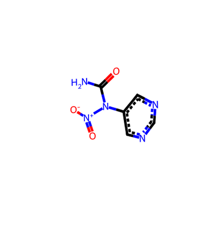 NC(=O)N(c1cncnc1)[N+](=O)[O-]